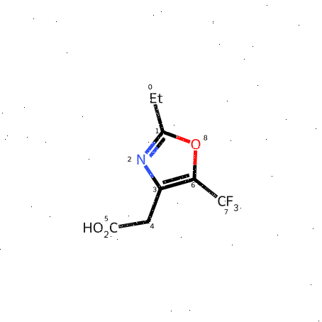 CCc1nc(CC(=O)O)c(C(F)(F)F)o1